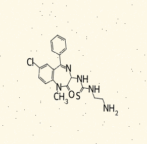 CN1C(=O)C(NC(=S)NCCN)N=C(c2ccccc2)c2cc(Cl)ccc21